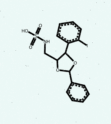 O=S(=O)(O)NCC1OC(c2ccccc2)OC1c1ccccc1I